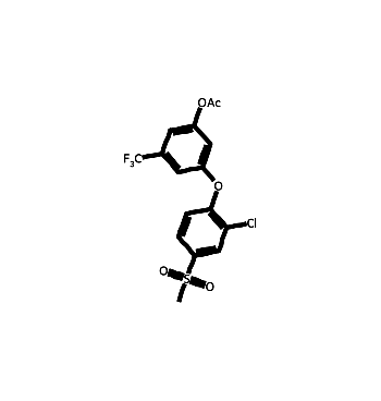 CC(=O)Oc1cc(Oc2ccc(S(C)(=O)=O)cc2Cl)cc(C(F)(F)F)c1